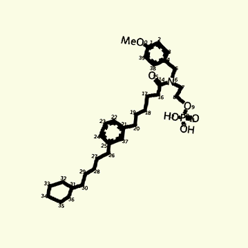 COc1ccc(CN(CCOP(=O)(O)O)C(=O)CCCCCc2cccc(CCCCCC3CCCCC3)c2)cc1